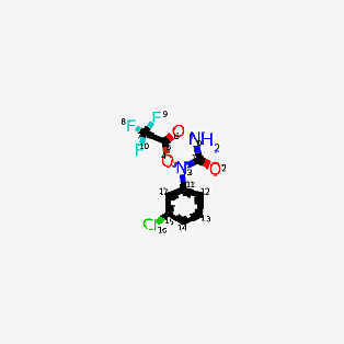 NC(=O)N(OC(=O)C(F)(F)F)c1cccc(Cl)c1